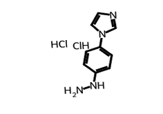 Cl.Cl.NNc1ccc(-n2ccnc2)cc1